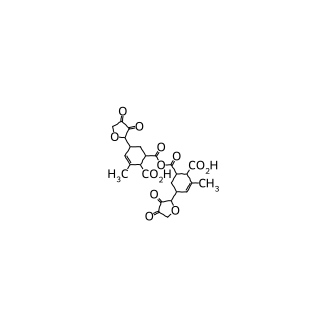 CC1=CC(C2OCC(=O)C2=O)CC(C(=O)OC(=O)C2CC(C3OCC(=O)C3=O)C=C(C)C2C(=O)O)C1C(=O)O